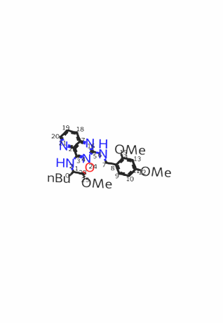 CCCCC(Nc1nc(NCc2ccc(OC)cc2OC)nc2cccnc12)C(=O)OC